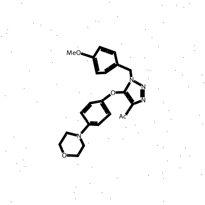 COc1ccc(Cn2nnc(C(C)=O)c2Oc2ccc(N3CCOCC3)cc2)cc1